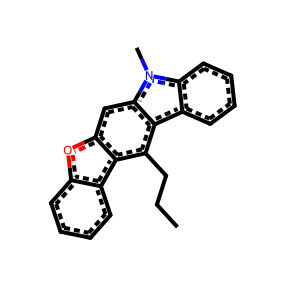 CCCc1c2c(cc3c1c1ccccc1n3C)oc1ccccc12